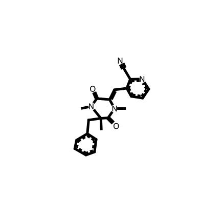 CN1C(=O)C(C)(Cc2ccccc2)N(C)C(=O)C1=Cc1cccnc1C#N